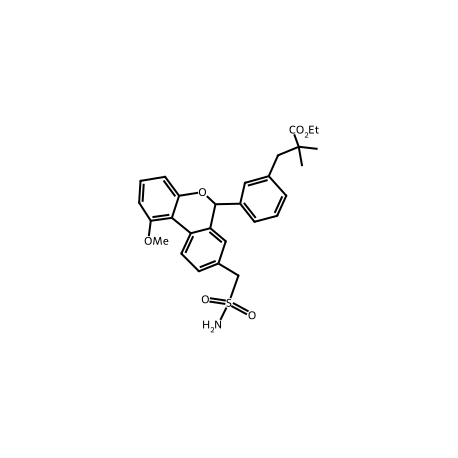 CCOC(=O)C(C)(C)Cc1cccc(C2Oc3cccc(OC)c3-c3ccc(CS(N)(=O)=O)cc32)c1